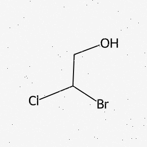 OCC(Cl)Br